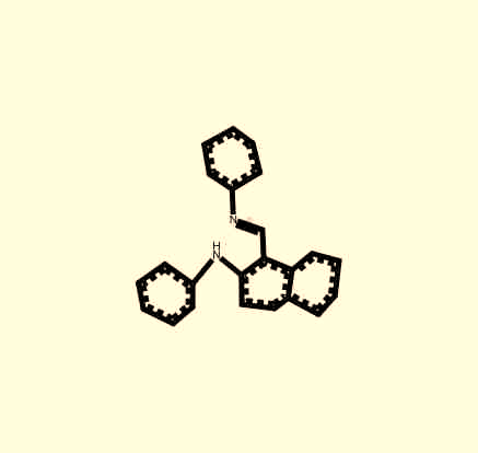 C(=N\c1ccccc1)/c1c(Nc2ccccc2)ccc2ccccc12